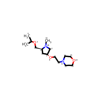 CC(C)OC[C@@H]1C[C@@H](OCCN2CCOCC2)CN1C